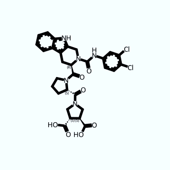 O=C(O)[C@@H]1CN(C(=O)[C@@H]2CCCN2C(=O)[C@H]2Cc3c([nH]c4ccccc34)CN2C(=O)Nc2ccc(Cl)c(Cl)c2)C[C@H]1C(=O)O